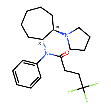 O=C(CCC(F)(F)F)N(c1ccccc1)[C@@H]1CCCCC[C@H]1N1CCCC1